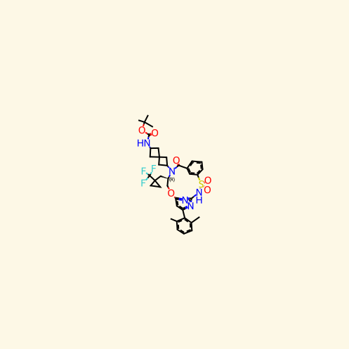 Cc1cccc(C)c1-c1cc2nc(n1)NS(=O)(=O)c1cccc(c1)C(=O)N(C1CC3(CC(NC(=O)OC(C)(C)C)C3)C1)[C@H](CC1(C(F)(F)F)CC1)CO2